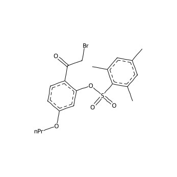 CCCOc1ccc(C(=O)CBr)c(OS(=O)(=O)c2c(C)cc(C)cc2C)c1